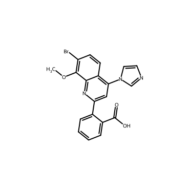 COc1c(Br)ccc2c(-n3ccnc3)cc(-c3ccccc3C(=O)O)nc12